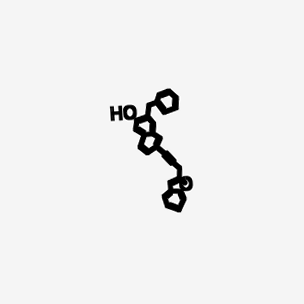 Oc1cc2ccc(C#CCc3cc4ccccc4o3)cc2cc1Cc1ccccc1